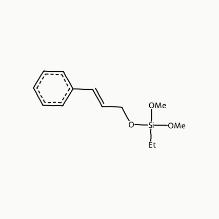 CC[Si](OC)(OC)OCC=Cc1ccccc1